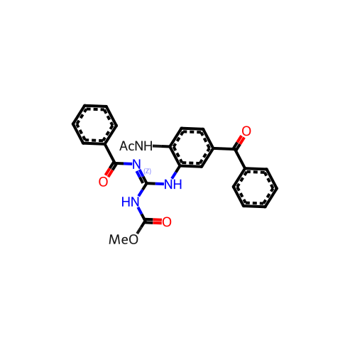 COC(=O)N/C(=N\C(=O)c1ccccc1)Nc1cc(C(=O)c2ccccc2)ccc1NC(C)=O